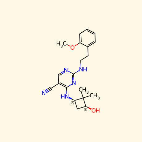 COc1ccccc1CCNc1ncc(C#N)c(N[C@@H]2C[C@H](O)C2(C)C)n1